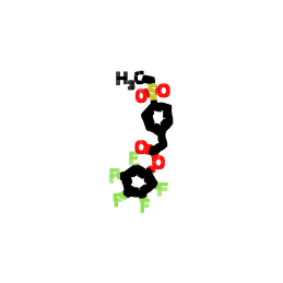 CCS(=O)(=O)c1ccc(CC(=O)Oc2c(F)c(F)c(F)c(F)c2F)cc1